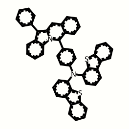 c1ccc(-c2c3ccccc3n3c(-c4ccc(N(c5cccc6c5sc5ccccc56)c5cccc6c5sc5ccccc56)cc4)c4ccccc4cc23)cc1